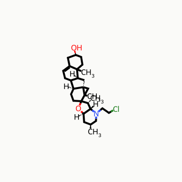 C[C@H]1C[C@H]2OC3(CC[C@H]4C5CC=C6C[C@@H](O)CCC6(C)[C@H]5C[C@@]45CC35C)[C@H](C)[C@@H]2N(CCCl)C1